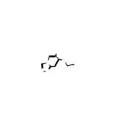 OCCNc1cc2nncn2cc1F